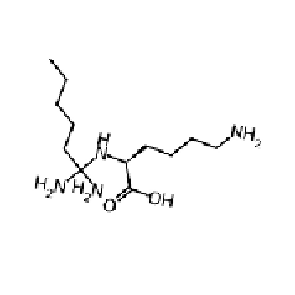 CCCCCC(N)(N)N[C@@H](CCCCN)C(=O)O